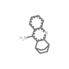 Nc1c2c(nc3ccccc13)C1CCC2CC1